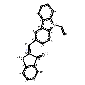 C=Cn1c2ccccc2c2cc(/C=C3/Oc4ccccc4C3=O)ccc21